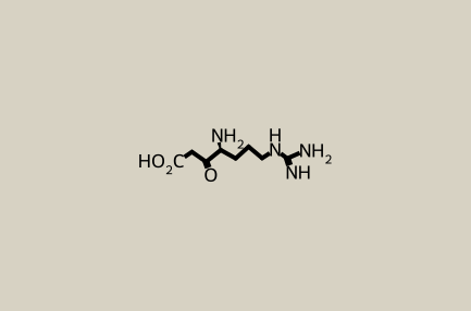 N=C(N)NCCC[C@H](N)C(=O)CC(=O)O